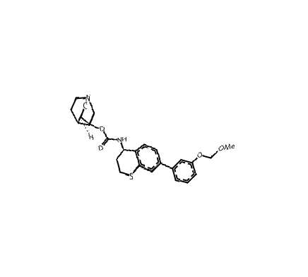 COCOc1cccc(-c2ccc3c(c2)SCCC3NC(=O)O[C@@H]2CN3CCC2CC3)c1